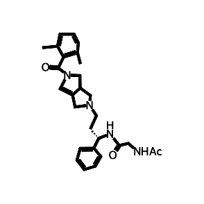 CC(=O)NCC(=O)N[C@@H](CCN1CC2=CN(C(=O)c3c(C)cccc3C)CC2C1)c1ccccc1